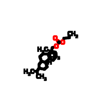 C=CCOC(=O)OC[C@@]1(C)CCC[C@@]2(C)C1CCC1CC(C(C)C)CC[C@H]12